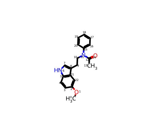 COc1ccc2[nH]cc(CCN(C(C)=O)c3ccccc3)c2c1